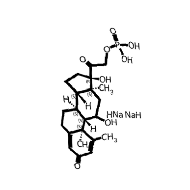 CC1=CC(=O)C=C2CC[C@@H]3[C@H](C(O)C[C@@]4(C)[C@H]3CC[C@]4(O)C(=O)COP(=O)(O)O)[C@@]12C.[NaH].[NaH]